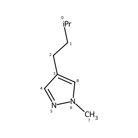 CC(C)CCc1cnn(C)c1